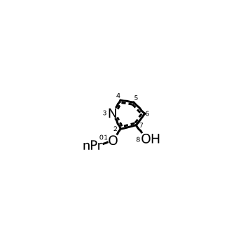 CCCOc1ncccc1O